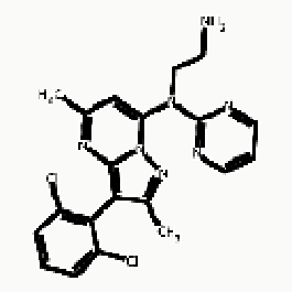 Cc1cc(N(CCN)c2ncccn2)n2nc(C)c(-c3c(Cl)cccc3Cl)c2n1